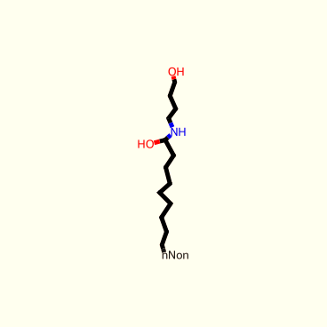 CCCCCCCCCCCCCCCCCC(O)NCCCCO